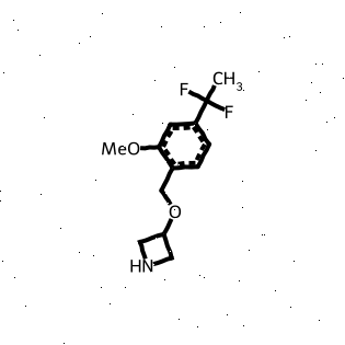 COc1cc(C(C)(F)F)ccc1COC1CNC1